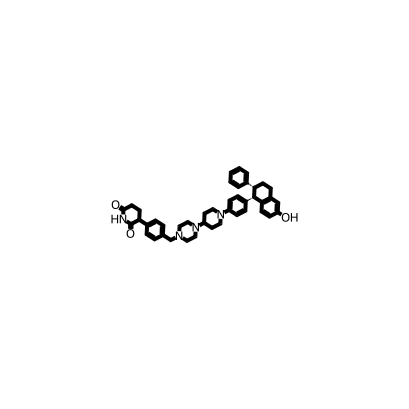 O=C1CCC(c2ccc(CN3CCN(C4CCN(c5ccc([C@H]6c7ccc(O)cc7CC[C@H]6c6ccccc6)cc5)CC4)CC3)cc2)C(=O)N1